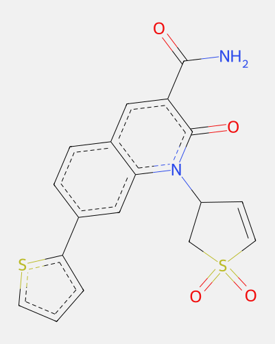 NC(=O)c1cc2ccc(-c3cccs3)cc2n(C2C=CS(=O)(=O)C2)c1=O